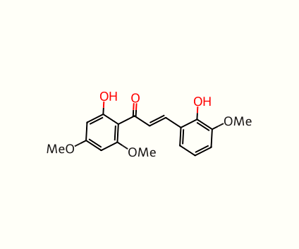 COc1cc(O)c(C(=O)C=Cc2cccc(OC)c2O)c(OC)c1